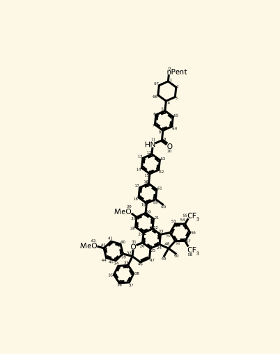 CCCCCC1CCC(c2ccc(C(=O)Nc3ccc(-c4ccc(-c5cc6c7c(c8c(c6cc5OC)OC(c5ccccc5)(c5ccc(OC)cc5)C=C8)C(C)(C)c5c-7cc(C(F)(F)F)cc5C(F)(F)F)c(C)c4)cc3)cc2)CC1